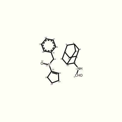 O=CNC1C2CC3CC(C2)CC1C3.[O-][S+](Cc1ccccc1)C1=CCCC1